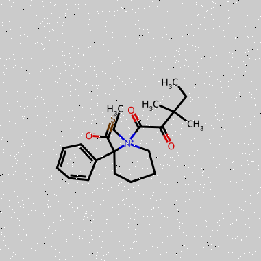 CCC(C)(C)C(=O)C(=O)[N+]1(CC)CCCCC1(C([O-])=S)c1ccccc1